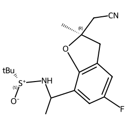 CC(N[S@+]([O-])C(C)(C)C)c1cc(F)cc2c1O[C@@](C)(CC#N)C2